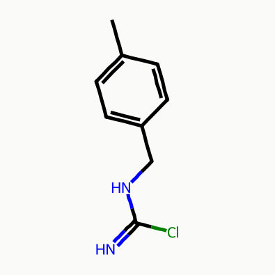 Cc1ccc(CNC(=N)Cl)cc1